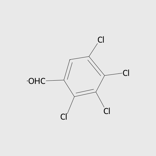 O=[C]c1cc(Cl)c(Cl)c(Cl)c1Cl